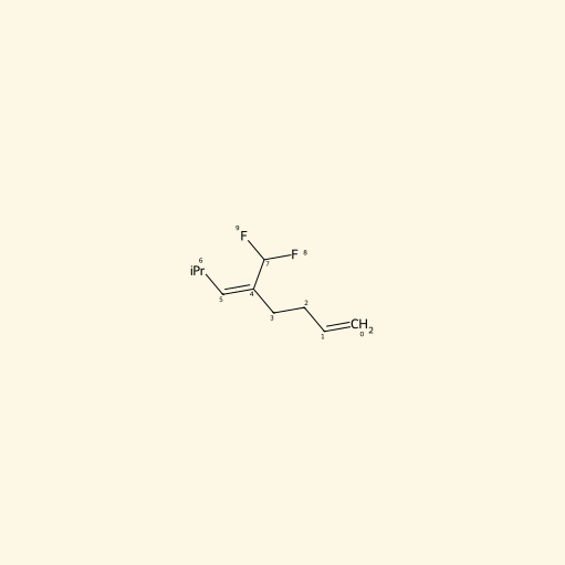 C=CCC/C(=C/C(C)C)C(F)F